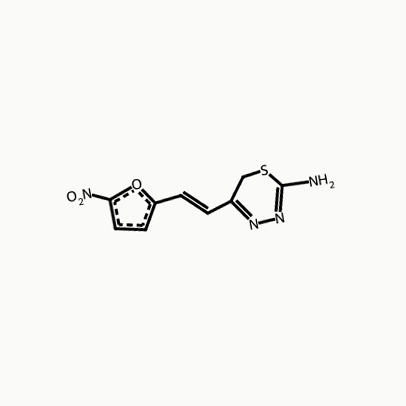 NC1=NN=C(/C=C/c2ccc([N+](=O)[O-])o2)CS1